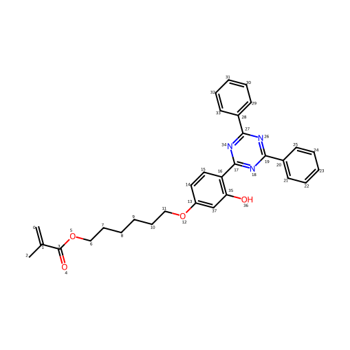 C=C(C)C(=O)OCCCCCCOc1ccc(-c2nc(-c3ccccc3)nc(-c3ccccc3)n2)c(O)c1